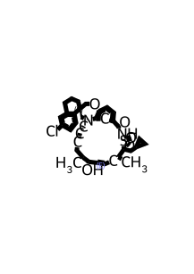 CC1CCCCN2C[C@@]3(CCCc4cc(Cl)ccc43)COc3ccc(cc32)C(=O)NS(=O)(=O)C(CC2CC2)C(C)C/C=C/C1O